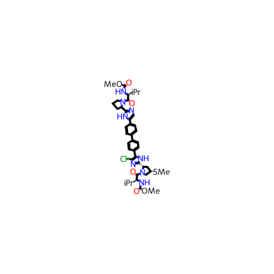 COC(=O)N[C@H](C(=O)N1CCCC1c1ncc(-c2ccc(-c3ccc(-c4[nH]c([C@@H]5C[C@H](SC)CN5C(=O)[C@@H](NC(=O)OC)C(C)C)nc4Cl)cc3)cc2)[nH]1)C(C)C